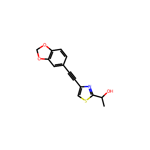 CC(O)c1nc(C#Cc2ccc3c(c2)OCO3)cs1